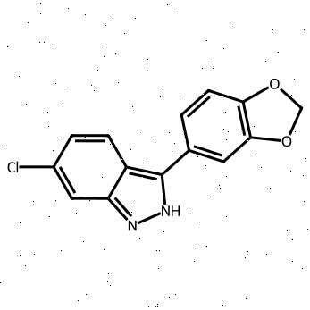 Clc1ccc2c(-c3ccc4c(c3)OCO4)[nH]nc2c1